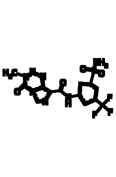 Cn1nnc2c(C(=O)Nc3cc(C(F)(F)F)cc(S(N)(=O)=O)c3)ncn2c1=O